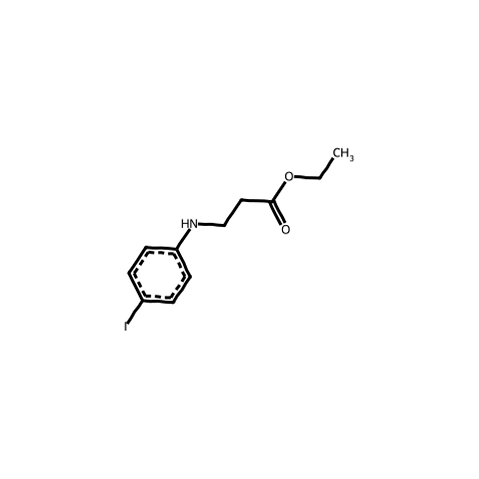 CCOC(=O)CCNc1ccc(I)cc1